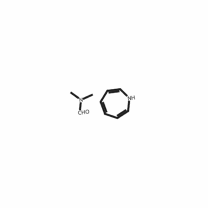 C1=CC=CNC=C1.CN(C)C=O